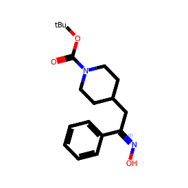 CC(C)(C)OC(=O)N1CCC(C/C(=N/O)c2ccccc2)CC1